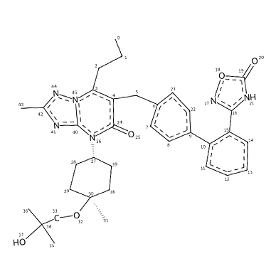 CCCc1c(Cc2ccc(-c3ccccc3-c3noc(=O)[nH]3)cc2)c(=O)n([C@H]2CC[C@](C)(OCC(C)(C)O)CC2)c2nc(C)nn12